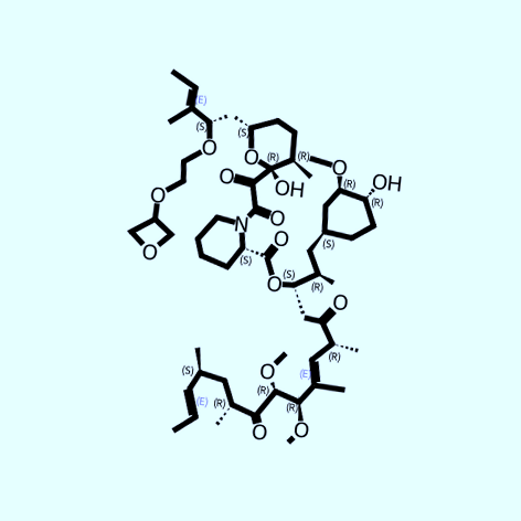 C/C=C/[C@@H](C)C[C@@H](C)C(=O)[C@H](OC)[C@H](OC)/C(C)=C/[C@@H](C)C(=O)C[C@H](OC(=O)[C@@H]1CCCCN1C(=O)C(=O)[C@]1(O)O[C@H](C[C@H](OCCOC2COC2)/C(C)=C/C)CC[C@H]1C)[C@H](C)C[C@@H]1CC[C@@H](O)[C@H](OC)C1